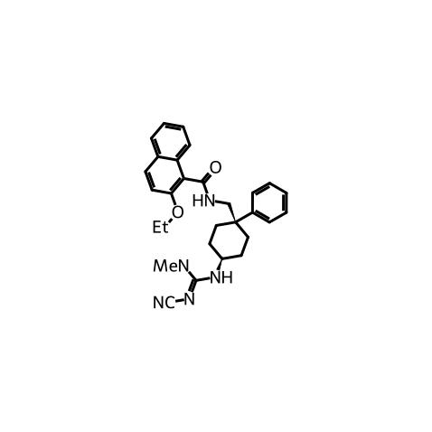 CCOc1ccc2ccccc2c1C(=O)NC[C@]1(c2ccccc2)CC[C@H](N/C(=N/C#N)NC)CC1